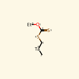 CCOC(=S)S[CH2][Ta][CH3]